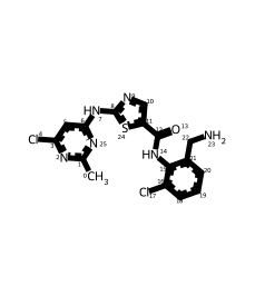 Cc1nc(Cl)cc(Nc2ncc(C(=O)Nc3c(Cl)cccc3CN)s2)n1